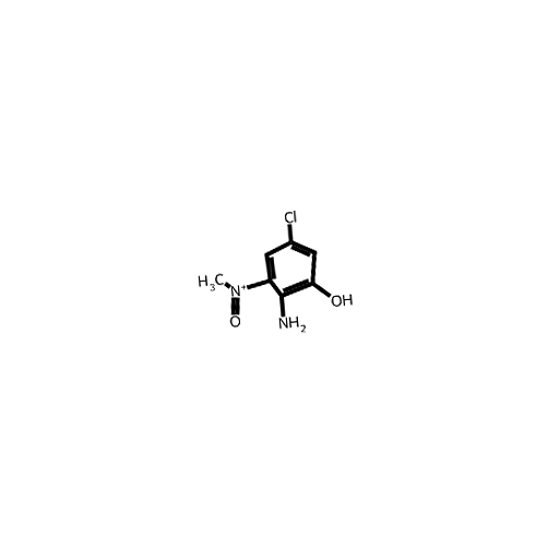 C[N+](=O)c1cc(Cl)cc(O)c1N